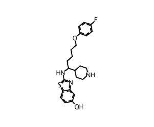 Oc1ccc2sc(NC(CCCCOc3ccc(F)cc3)C3CCNCC3)nc2c1